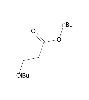 CCCCOC(=O)CCOCC(C)C